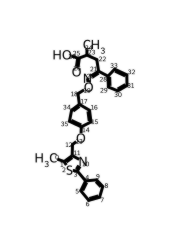 Cc1sc(-c2ccccc2)nc1COc1ccc(CON=C(CC(C)C(=O)O)c2ccccc2)cc1